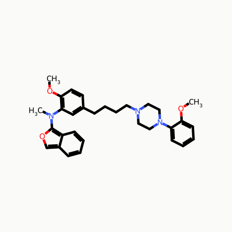 COc1ccccc1N1CCN(CCCCc2ccc(OC)c(N(C)c3occ4ccccc34)c2)CC1